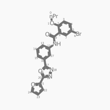 CCCOc1ccc(Br)cc1C(=O)Nc1cccc(-c2nnc(-c3ccco3)o2)c1